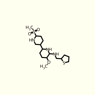 COC1CCC(C2CCC(S(C)(=O)=O)NC2)NC1NCC1CCCS1